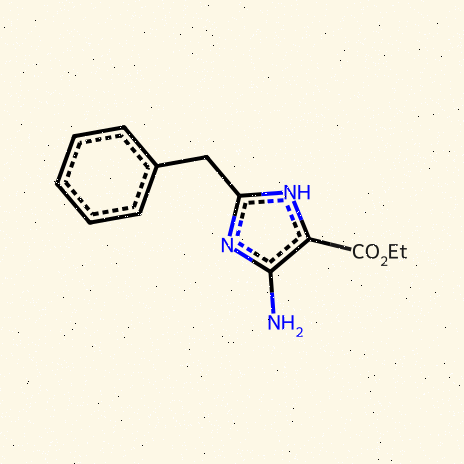 CCOC(=O)c1[nH]c(Cc2ccccc2)nc1N